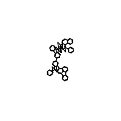 c1ccc(-c2nc(-n3c4ccccc4c4cc(-c5ccc6c(c5)c5c7cccc8c7c(cc5n6-c5ccccc5)-c5ccccc5-8)ccc43)nc3ccc4ccccc4c23)cc1